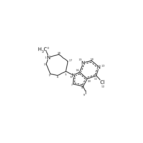 CN1CCCC(n2cc(I)c3c(Cl)ncnc32)CC1